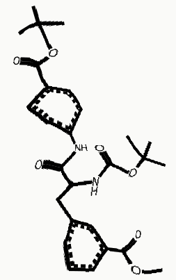 COC(=O)c1cccc(CC(NC(=O)OC(C)(C)C)C(=O)Nc2ccc(C(=O)OC(C)(C)C)cc2)c1